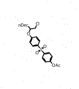 CCCCCCCCCCC(CCl)Oc1ccc(S(=O)(=O)c2ccc(OC(C)=O)cc2)cc1